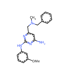 COc1cccc(Nc2nc(N)cc(CN(C)Cc3ccccc3)n2)c1